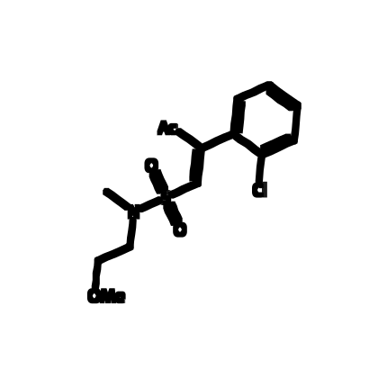 COCCN(C)S(=O)(=O)C=C(C(C)=O)c1ccccc1Cl